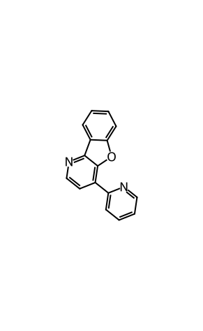 c1ccc(-c2ccnc3c2oc2ccccc23)nc1